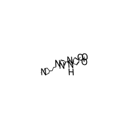 COC(=O)Oc1ccc2[nH]c(-c3ccc(N(C)CCCC4CCN(C)CC4)nc3)nc2c1